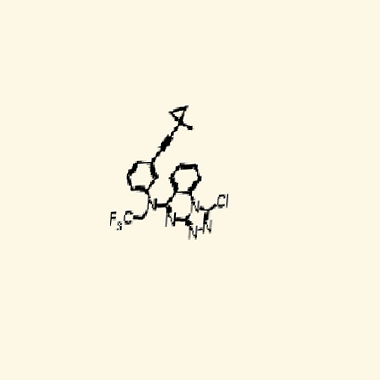 CC1(C#Cc2cccc(N(CC(F)(F)F)c3nc4nnc(Cl)n4c4ccccc34)c2)CC1